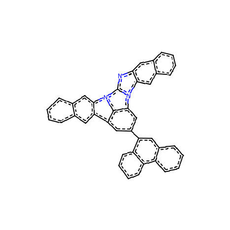 c1ccc2cc3c(cc2c1)nc1n3c2cc(-c3cc4ccccc4c4ccccc34)cc3c4cc5ccccc5cc4n1c32